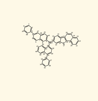 c1ccc(-c2ccc3cc(N(c4ccc5c(c4)sc4c6ccccc6ccc54)c4ccc(-c5ccccc5)c5ccccc45)ccc3c2)cc1